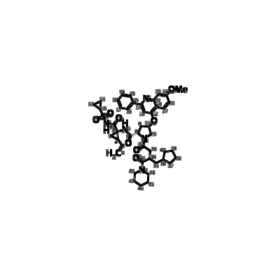 C=CC1C[C@]1(NC(=O)[C@@H]1C[C@@H](Oc2cc(-c3ccccc3)nc3cc(OC)ccc23)CN1C(=O)C[C@@H](CC1CCCC1)C(=O)N1CCCCC1)C(=O)NS(=O)(=O)C1CC1